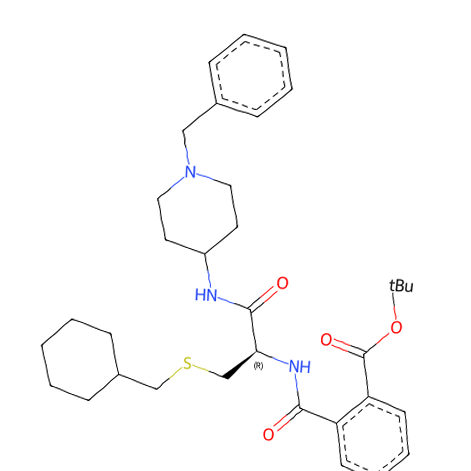 CC(C)(C)OC(=O)c1ccccc1C(=O)N[C@@H](CSCC1CCCCC1)C(=O)NC1CCN(Cc2ccccc2)CC1